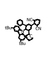 CC(C)(C)c1ccc2c(c1)c1cc(C(C)(C)C)ccc1n2-c1c(-c2ccccc2)cc(-c2c(C#N)cccc2C#N)cc1-c1ccccc1